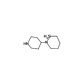 C1CCN(C2CCNCC2)[SiH2]C1